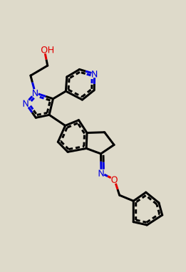 OCCn1ncc(-c2ccc3c(c2)CC/C3=N\OCc2ccccc2)c1-c1ccncc1